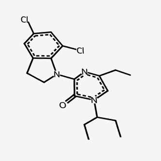 CCc1cn(C(CC)CC)c(=O)c(N2CCc3cc(Cl)cc(Cl)c32)n1